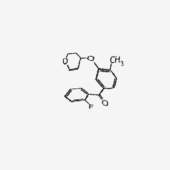 Cc1ccc(C(=O)c2ccccc2F)cc1OC1CCOCC1